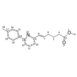 COC(=O)CCCC=Cc1cccc(-c2ccc(C)cc2)n1